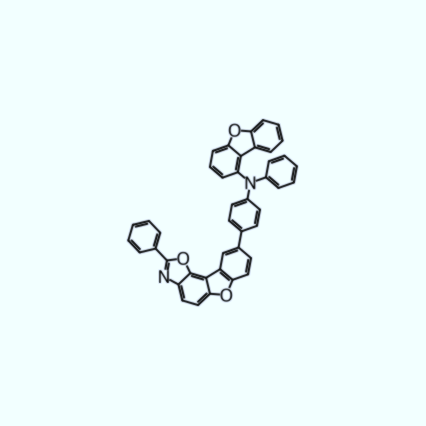 c1ccc(-c2nc3ccc4oc5ccc(-c6ccc(N(c7ccccc7)c7cccc8oc9ccccc9c78)cc6)cc5c4c3o2)cc1